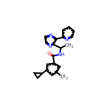 CC(NC(=O)c1cc(C2CC2)cc(C(F)(F)F)c1)c1nccnc1-c1ccccn1